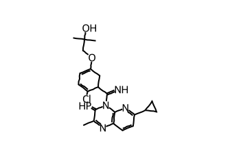 Cc1nc2ccc(C3CC3)nc2n(C(=N)C2CC(OCC(C)(C)O)=CC=C2Cl)c1=P